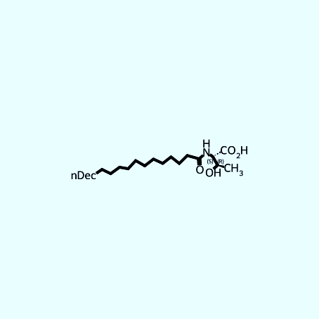 CCCCCCCCCCCCCCCCCCCCCC(=O)N[C@H](C(=O)O)[C@@H](C)O